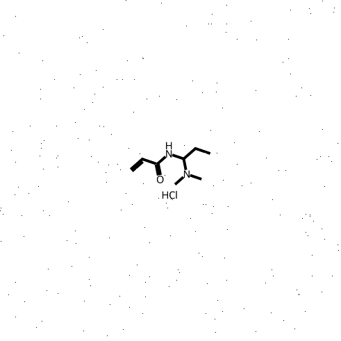 C=CC(=O)NC(CC)N(C)C.Cl